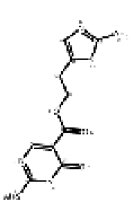 CSc1ncc(C(=O)OCCc2cnc(N)s2)c(=O)[nH]1